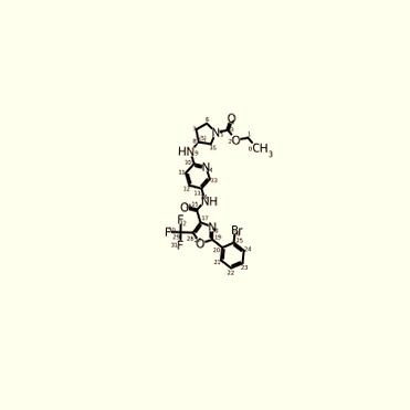 CCOC(=O)N1CC[C@H](Nc2ccc(NC(=O)c3nc(-c4ccccc4Br)oc3C(F)(F)F)cn2)C1